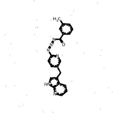 Cc1cccc(C(=O)N=[N+]=Nc2ccc(Cc3c[nH]c4ncccc34)cn2)c1